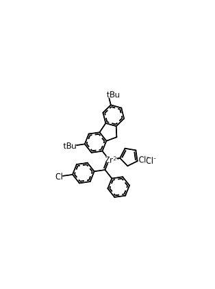 CC(C)(C)c1ccc2c(c1)-c1cc(C(C)(C)C)c[c](/[Zr+2]([C]3=CC=CC3)=[C](/c3ccccc3)c3ccc(Cl)cc3)c1C2.[Cl-].[Cl-]